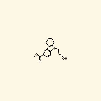 COC(=O)c1ccc2c(c1)c1c(n2CCCO)CCCC1